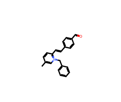 Cc1ccc(/C=C/c2ccc(C=O)cc2)[n+](Cc2ccccc2)c1